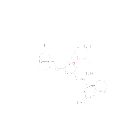 [O-][S+]1NC(c2cc(O)cc3ccccc23)=Cc2nc(OC[C@@]34CCCN3C[C@H](F)C4)nc(N3C4CNCC3COC4)c21